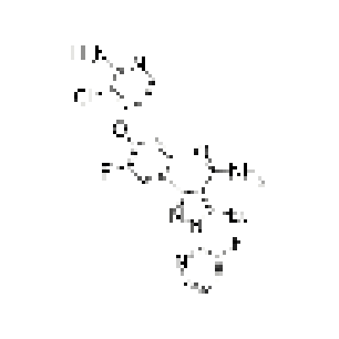 CCc1c(C(N)=O)c(-c2ccc(Oc3ccnc(N)c3Cl)c(F)c2)nn1-c1ncccc1F